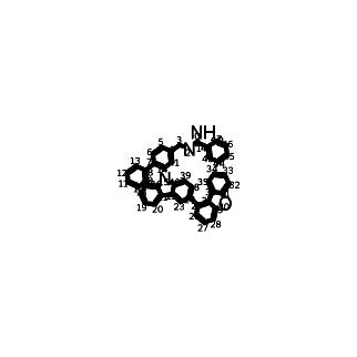 N/C(=N\Cc1ccc(-c2ccccc2)c(-n2c3ccccc3c3cc(-c4cccc5oc6ccccc6c45)ccc32)c1)c1ccccc1